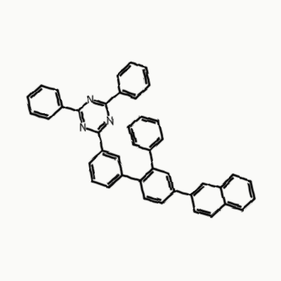 c1ccc(-c2nc(-c3ccccc3)nc(-c3cccc(-c4ccc(-c5ccc6ccccc6c5)cc4-c4ccccc4)c3)n2)cc1